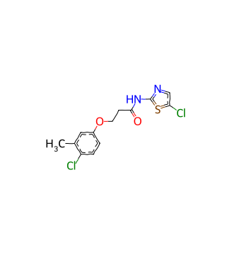 Cc1cc(OCCC(=O)Nc2ncc(Cl)s2)ccc1Cl